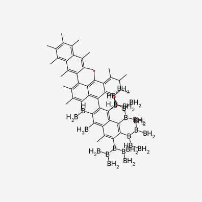 BBB(B(B)B)c1c(B(B(B)B)B(B)B)c(C)c2c(B)c(BB)c(-c3c4c(c(C)c5c(-c6c(C)c(C)c7c(C)c(C)c(C)c(C)c7c6C)c(C)c(C)c(C)c35)=C(C)C(C)C(C)C=4C)c(B(B)BB)c2c1B(B)B(B)B